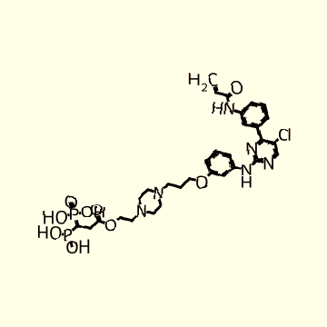 C=CC(=O)Nc1cccc(-c2nc(Nc3cccc(OCCCN4CCN(CCOC(=O)CC(P(O)O)P(=O)(O)O)CC4)c3)ncc2Cl)c1